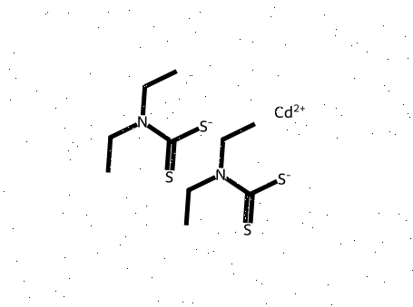 CCN(CC)C(=S)[S-].CCN(CC)C(=S)[S-].[Cd+2]